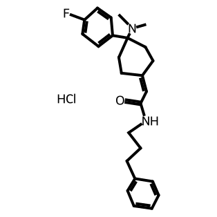 CN(C)C1(c2ccc(F)cc2)CCC(=CC(=O)NCCCc2ccccc2)CC1.Cl